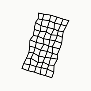 C1C2C3C4C5CC6C7C8C9C%10C%11C%12C%13C%14CC%15C%16C%17C%18CC%19C%20C%21C%22C%23C%24C%25C%26C1C21C32C43C56C74C85C96C%107C%118C%129C%13%10C%15%14C%16%11C%17%12C%18%19C%20%13C%21%14C%22%15C%23%16C%24%17C%25%18C%261C21C34C52C%181C%171C62C72C83C94C%11%10C%12%13C%144C%153C%1612